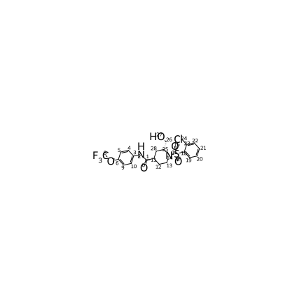 O=C(Nc1ccc(OC(F)(F)F)cc1)[C@@H]1CCN(S(=O)(=O)c2ccccc2Cl)[C@@H](CO)C1